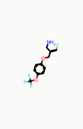 NC/C(=C\F)COc1ccc(OC(F)(F)F)cc1